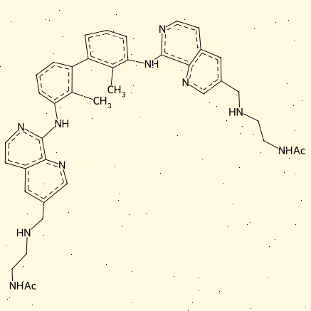 CC(=O)NCCNCc1cnc2c(Nc3cccc(-c4cccc(Nc5nccc6cc(CNCCNC(C)=O)cnc56)c4C)c3C)nccc2c1